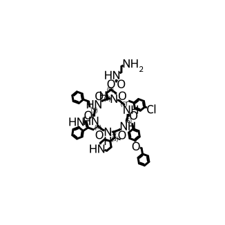 C[C@@H](C1CCNCC1)[C@@H]1NC(=O)[C@@H](Cc2c[nH]c3ccccc23)NC(=O)[C@H](CCc2ccccc2)NC(=O)[C@@H]2C[C@@H](OC(=O)NCCN)CN2C(=O)[C@H](Cc2ccc(Cl)cc2)NC(=O)[C@H](Cc2ccc(OCc3ccccc3)cc2)NC1=O